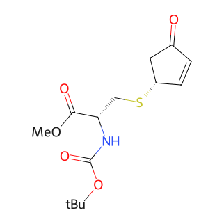 COC(=O)[C@H](CS[C@H]1C=CC(=O)C1)NC(=O)OC(C)(C)C